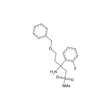 CNS(=O)(=O)CC(N)(CCOCc1ccccc1)c1ccccc1F